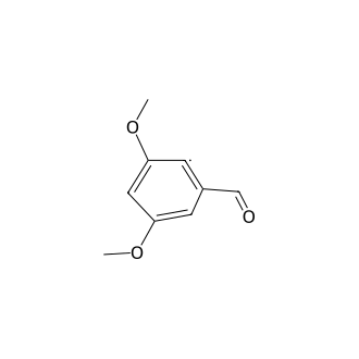 COc1[c]c(C=O)cc(OC)c1